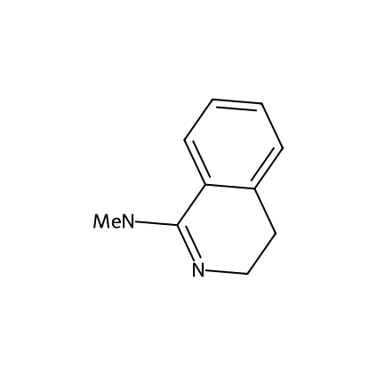 CNC1=NCCc2ccccc21